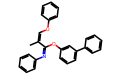 CC(=COc1ccccc1)C(=Nc1ccccc1)Oc1cccc(-c2ccccc2)c1